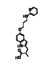 CC(Cc1cc2cc(OCCCNc3ccccn3)ccc2[nH]1)C(=O)O